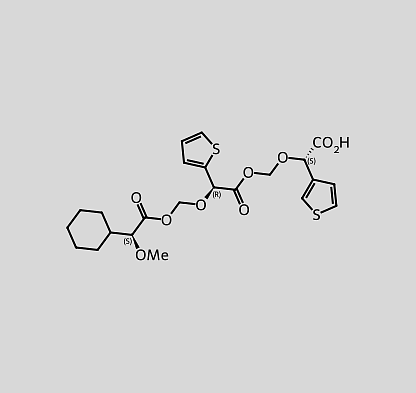 CO[C@H](C(=O)OCO[C@H](C(=O)OCO[C@H](C(=O)O)c1ccsc1)c1cccs1)C1CCCCC1